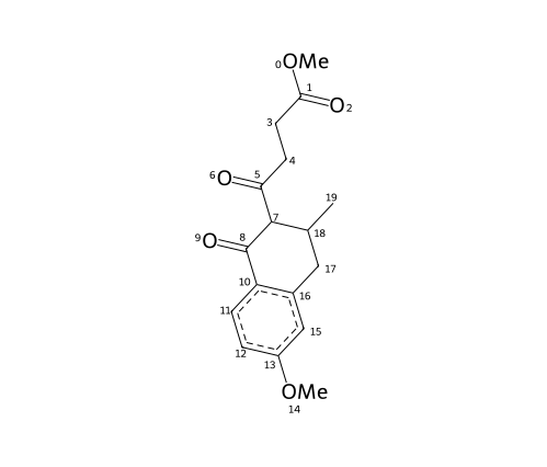 COC(=O)CCC(=O)C1C(=O)c2ccc(OC)cc2CC1C